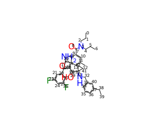 CCCN(CCC)C(=O)C1=CC(C)=CC(C(N)=O)([C@H](Cc2cc(F)cc(F)c2)[C@H](O)C2(NCc3cccc(CC)c3)CC2)C1